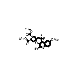 COC(=O)[C@@H]1CC2(CN1C(=O)OC(C)(C)C)CC(F)(F)c1c(c(C(C)C)nc3ccc(OC)cc13)O2